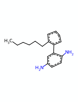 CCCCCCc1ccccc1-c1cc(N)ccc1N